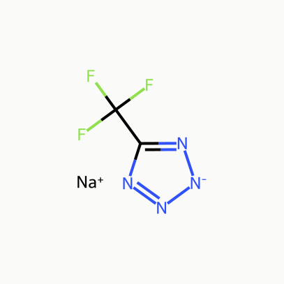 FC(F)(F)c1nn[n-]n1.[Na+]